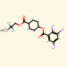 O=C(OC1CCC(C(=O)OCC(F)(F)S(=O)(=O)O)CC1)c1cc(I)cc(I)c1I